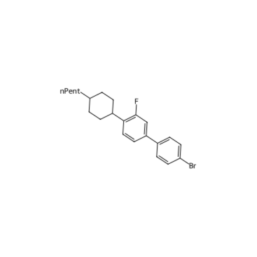 CCCCCC1CCC(c2ccc(-c3ccc(Br)cc3)cc2F)CC1